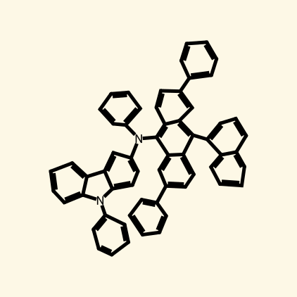 c1ccc(-c2ccc3c(N(c4ccccc4)c4ccc5c(c4)c4ccccc4n5-c4ccccc4)c4cc(-c5ccccc5)ccc4c(-c4cccc5ccccc45)c3c2)cc1